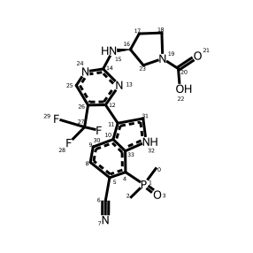 CP(C)(=O)c1c(C#N)ccc2c(-c3nc(N[C@H]4CCN(C(=O)O)C4)ncc3C(F)(F)F)c[nH]c12